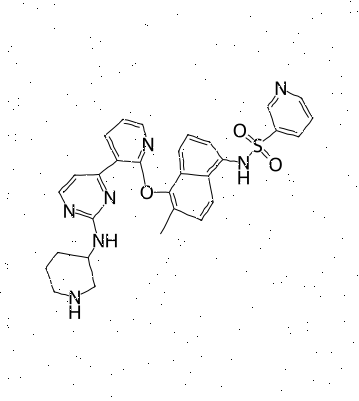 Cc1ccc2c(NS(=O)(=O)c3cccnc3)cccc2c1Oc1ncccc1-c1ccnc(NC2CCCNC2)n1